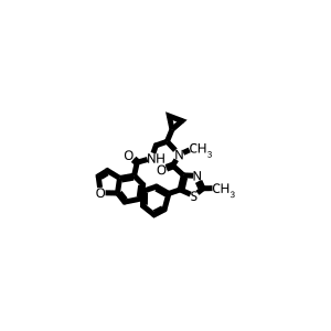 Cc1nc(C(=O)N(C)C(CNC(=O)c2cccc3occc23)C2CC2)c(-c2ccccc2)s1